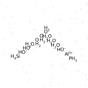 O.O.O.O.O.O.O.P.[Al+3].[OH-].[OH-].[OH-].[SiH4]